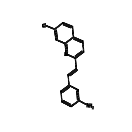 Nc1cccc(C=Cc2ccc3ccc(Cl)cc3n2)c1